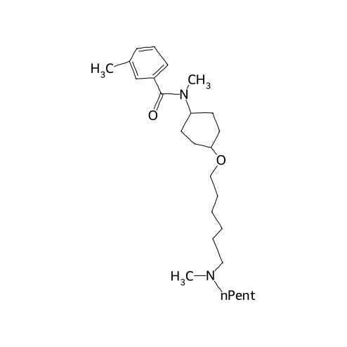 CCCCCN(C)CCCCCCOC1CCC(N(C)C(=O)c2cccc(C)c2)CC1